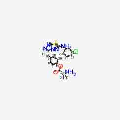 CC(C)[C@@H](N)C(=O)Oc1ccc([C@H](C)c2nnc3sc(Nc4cccc(Cl)c4)nn23)cc1